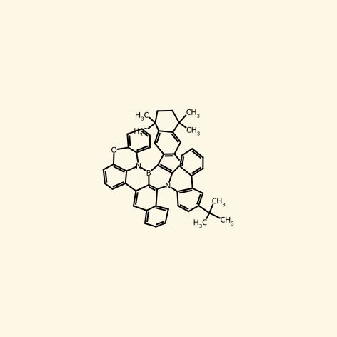 CC(C)(C)c1ccc(N2c3sc4cc5c(cc4c3B3c4c(cc6ccccc6c42)-c2cccc4c2N3c2ccccc2O4)C(C)(C)CCC5(C)C)c(-c2ccccc2)c1